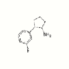 NC1CCCC1c1cccc(F)c1